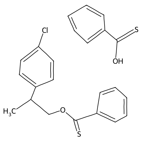 CC(COC(=S)c1ccccc1)c1ccc(Cl)cc1.OC(=S)c1ccccc1